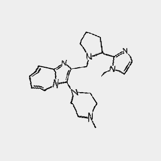 CN1CCN(c2c(CN3CCCC3c3nccn3C)nc3ccccn23)CC1